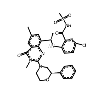 Cc1cc([C@@H](C)Nc2ccc(Cl)nc2C(=O)NS(C)(=O)=O)c2nc(N3CCO[C@H](c4ccccc4)C3)n(C)c(=O)c2c1